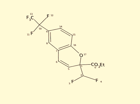 CCOC(=O)C1(C(F)F)C=Cc2cc(C(F)(F)C(F)(F)F)ccc2O1